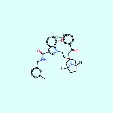 Cc1cccc(CNC(=O)c2cn(CCCN3[C@@H]4CC[C@H]3C[C@@H](CC(=O)c3cccc(Cl)c3)C4)c3c(OC(C)C)cccc23)c1